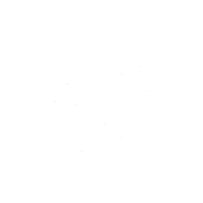 CC(Oc1cnc2cc(N3CCOCC3)nc(OC3CCC(Nc4cncc(C(F)(F)F)n4)CC3)c2c1)c1cnc([N+](=O)[O-])n1C